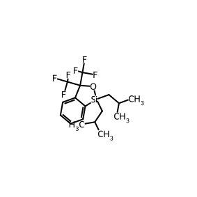 CC(C)C[Si]1(CC(C)C)OC(C(F)(F)F)(C(F)(F)F)c2ccccc21